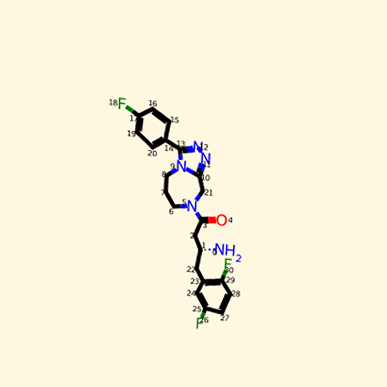 N[C@@H](CC(=O)N1CCCn2c(nnc2-c2ccc(F)cc2)C1)Cc1cc(F)ccc1F